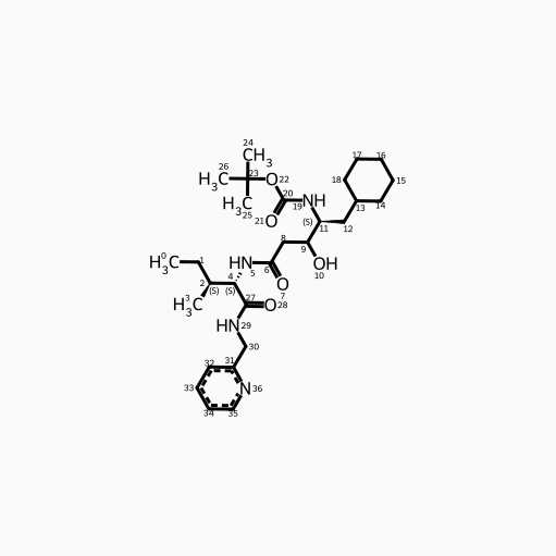 CC[C@H](C)[C@H](NC(=O)CC(O)[C@H](CC1CCCCC1)NC(=O)OC(C)(C)C)C(=O)NCc1ccccn1